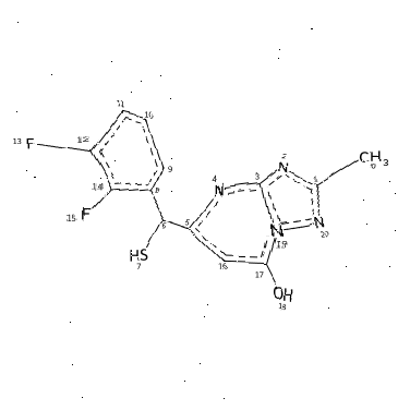 Cc1nc2nc(C(S)c3cccc(F)c3F)cc(O)n2n1